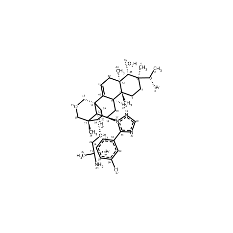 CC(C)[C@@H](C)[C@@]1(C)CC[C@]2(C)[C@H]3CC[C@@H]4[C@@]5(COC[C@@]4(C)[C@@H](OC[C@](C)(N)C(C)C)[C@H](n4ncnc4-c4cccc(Cl)c4)C5)C3=CC[C@@]2(C)[C@@H]1C(=O)O